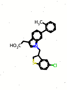 Cc1ccccc1-c1ccc2c(CC(=O)O)cn(CC3CSc4ccc(Cl)cc43)c2c1